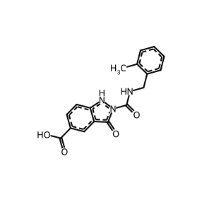 Cc1ccccc1CNC(=O)n1[nH]c2ccc(C(=O)O)cc2c1=O